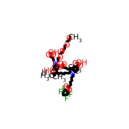 COCCOCCOCCOCCN(CCCS(=O)(=O)O)c1ccc(/C(=C\C/C=C/C=C2/N(CCCCCC(=O)Oc3c(F)c(F)cc(F)c3F)c3ccc(S(=O)(=O)O)cc3C2(C)CCCS(=O)(=O)O)C(C)(C)C)c(O)c1